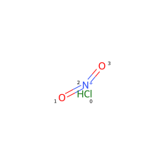 Cl.O=[N+]=O